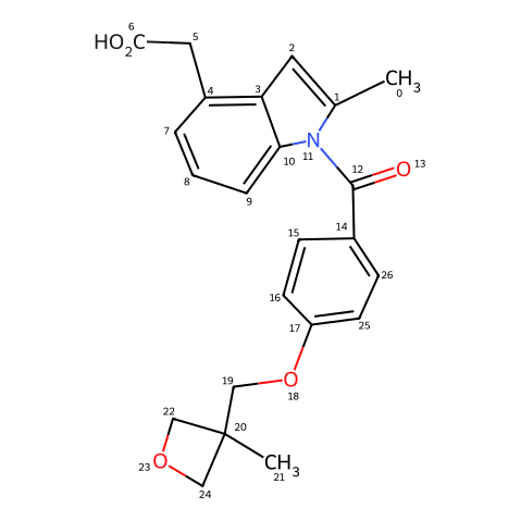 Cc1cc2c(CC(=O)O)cccc2n1C(=O)c1ccc(OCC2(C)COC2)cc1